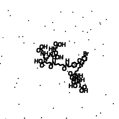 O=C(O)CC[C@@H](NC(=O)N[C@H](CCCCN(Cc1ccc(Br)cc1)C(=O)c1ccc(CNC(=O)CCCCNC(=O)CCC(C(=O)O)N(CCNCC(=O)O)CCN(CCNCC(=O)O)CC(=O)O)cc1)C(=O)O)C(=O)O